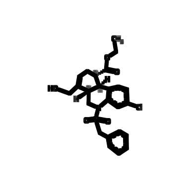 CCOC(=O)[C@H]1CC=C(CO)[C@H]2CN(S(=O)(=O)Cc3ccccc3)c3cc(Cl)ccc3[C@H]12